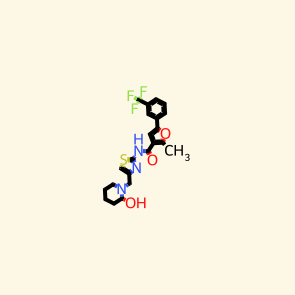 Cc1oc(-c2cccc(C(F)(F)F)c2)cc1C(=O)Nc1nc(CN2CCCCC2O)cs1